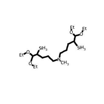 CCOC(OCC)C([SiH3])CCCN(C)CCCC([SiH3])C(OCC)OCC